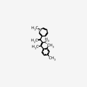 C=C(C1=CN(C)C=CC=C1)/C(C)=C(\C)c1ccc(C)cc1C